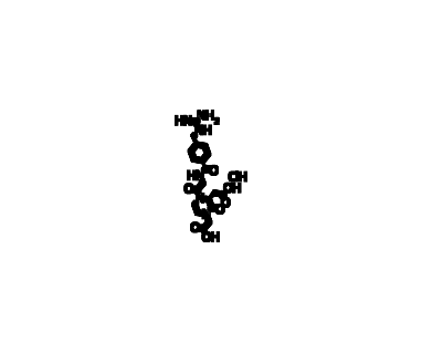 Cl.N=C(N)NC[C@H]1CC[C@H](C(=O)NCC(=O)N2CCN(CC(=O)O)C(=O)[C@@H]2CC(=O)O)CC1